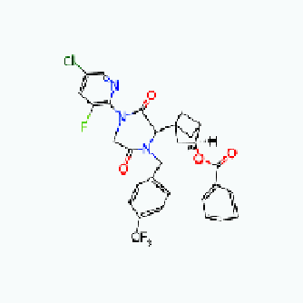 O=C(O[C@H]1CC2(C3C(=O)N(c4ncc(Cl)cc4F)CC(=O)N3Cc3ccc(C(F)(F)F)cc3)CC1C2)c1ccccc1